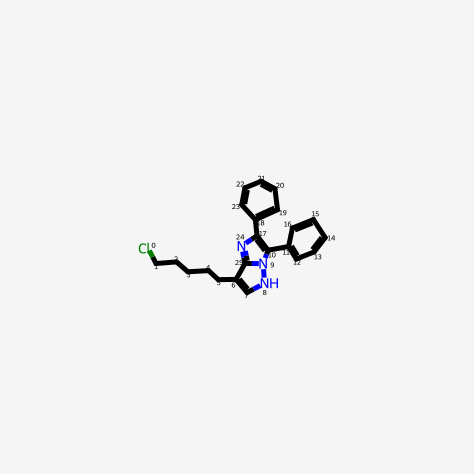 ClCCCCCc1c[nH]n2c(-c3ccccc3)c(-c3ccccc3)nc12